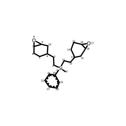 C[Si](CCC1CCC2OC2C1)(CCC1CCC2OC2C1)c1ccccc1